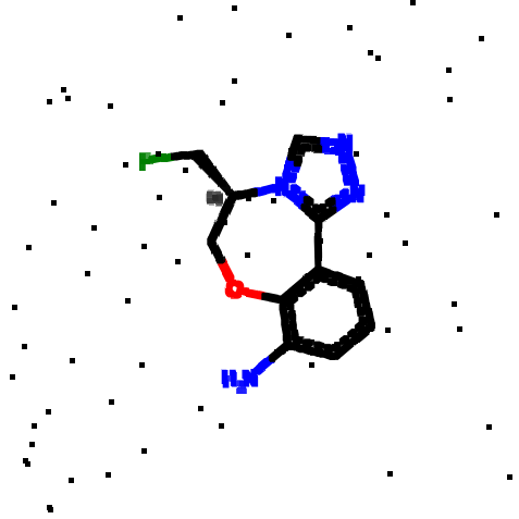 Nc1cccc2c1OC[C@@H](CF)n1cnnc1-2